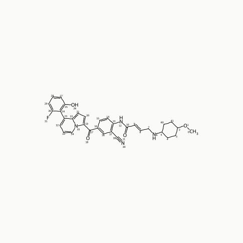 COC1CCC(NC/C=C/C(=O)Nc2ccc(C(=O)c3ccc4c(-c5c(O)cccc5F)cccn34)cc2C#N)CC1